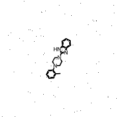 Cc1ccccc1N1CCN(c2nc3ccccc3[nH]2)CC1